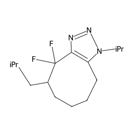 CC(C)CC1CCCCc2c(nnn2C(C)C)C1(F)F